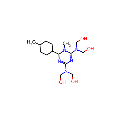 CC1CCC(C2N=C(N(CO)CO)N=C(N(CO)CO)N2C)CC1